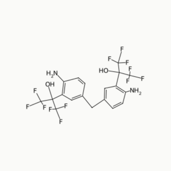 Nc1ccc(Cc2ccc(N)c(C(O)(C(F)(F)F)C(F)(F)F)c2)cc1C(O)(C(F)(F)F)C(F)(F)F